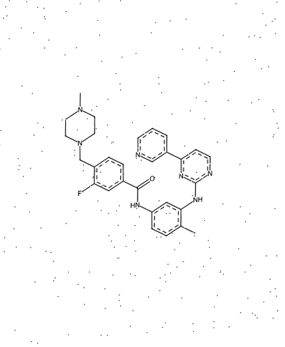 Cc1ccc(NC(=O)c2ccc(CN3CCN(C)CC3)c(F)c2)cc1Nc1nccc(-c2cccnc2)n1